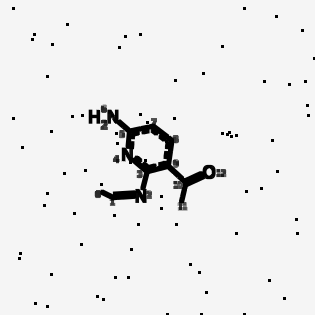 C/C=N\c1nc(N)ccc1C(C)=O